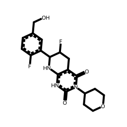 O=c1[nH]c2c(c(=O)n1C1CCOCC1)CC(F)C(c1cc(CO)ccc1F)N2